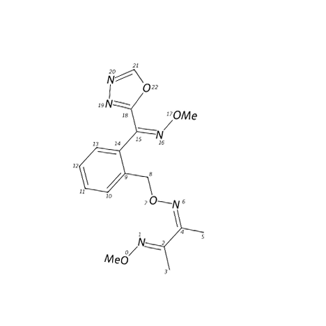 CON=C(C)C(C)=NOCc1ccccc1C(=NOC)c1nnco1